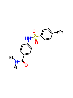 CCCc1ccc(S(=O)(=O)Nc2ccc(C(=O)N(CC)CC)cc2)cc1